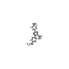 CC(C)Nc1nc(-c2ccc(N)cc2)nn1-c1ccc(OC(F)(F)F)cc1